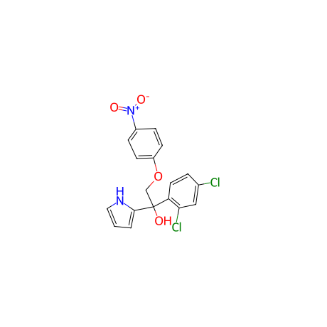 O=[N+]([O-])c1ccc(OCC(O)(c2ccc[nH]2)c2ccc(Cl)cc2Cl)cc1